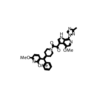 COc1ccc(C(=C2CCN(C(=O)C(=O)c3c[nH]c4c(-n5cnc(C)n5)ncc(OC)c34)CC2)c2ccccc2)c(OC)n1